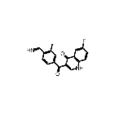 Cc1cc(C(=O)c2c[nH]c3ccc(F)cc3c2=O)ccc1C=N